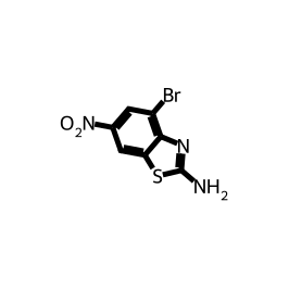 Nc1nc2c(Br)cc([N+](=O)[O-])cc2s1